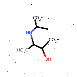 CC(NC(C(=O)O)C(O)C(=O)O)C(=O)O